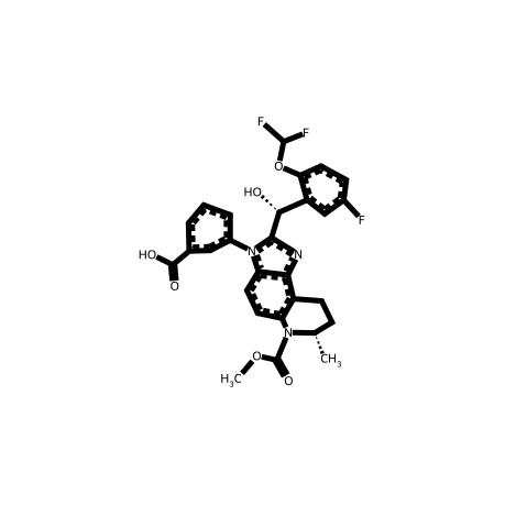 COC(=O)N1c2ccc3c(nc([C@H](O)c4cc(F)ccc4OC(F)F)n3-c3cccc(C(=O)O)c3)c2CC[C@@H]1C